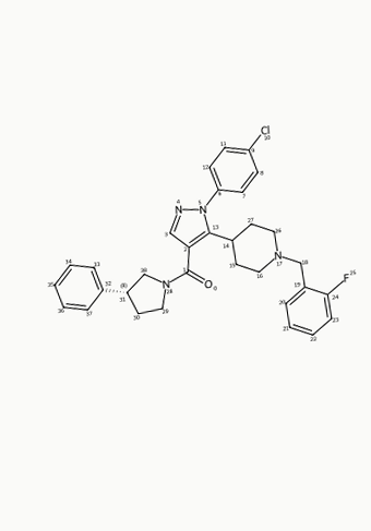 O=C(c1cnn(-c2ccc(Cl)cc2)c1C1CCN(Cc2ccccc2F)CC1)N1CC[C@H](c2ccccc2)C1